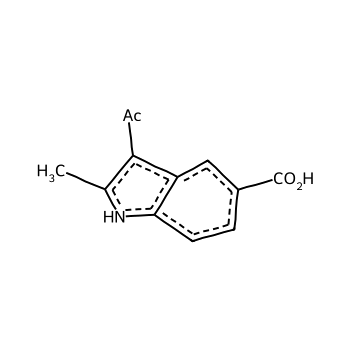 CC(=O)c1c(C)[nH]c2ccc(C(=O)O)cc12